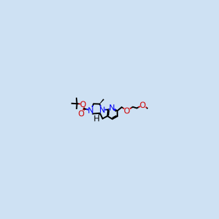 COCCOCc1ccc2c(n1)N1[C@H](C2)CN(C(=O)OC(C)(C)C)C[C@H]1C